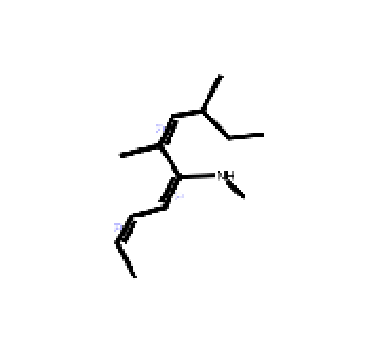 C\C=C/C=C(NC)\C(C)=C/C(C)CC